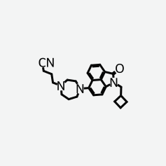 N#CCCCN1CCCN(c2ccc3c4c(cccc24)C(=O)N3CC2CCC2)CC1